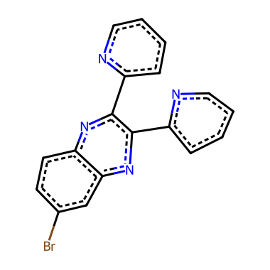 Brc1ccc2nc(-c3ccccn3)c(-c3ccccn3)nc2c1